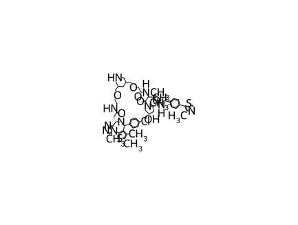 Cc1ncsc1-c1ccc(CNC(=O)[C@@H]2C[C@@H](O)CN2C(=O)[C@@H](NC(=O)COCC2CNCC(COCCNC(=O)C[C@@H]3N=C(c4ccc(Cl)cc4)c4c(sc(C)c4C)-n4c(C)nnc43)C2)C(C)(C)C)cc1